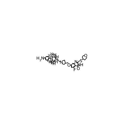 [2H]C1([2H])N(CCN2CCC(COc3cc(F)c4c(=O)[nH]c(CSC5CCOCC5)nc4c3)CC2)C([2H])([2H])C([2H])([2H])N(c2ccc(N)cc2)C1([2H])[2H]